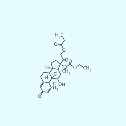 CCOC(=O)O[C@]1(C(=O)COC(=O)CC)CC[C@H]2[C@@H]3CCC4=CC(=O)C=C[C@]4(C)[C@@]3(Cl)C(O)C[C@@]21C